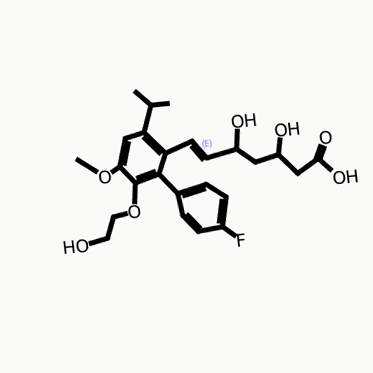 COc1cc(C(C)C)c(/C=C/C(O)CC(O)CC(=O)O)c(-c2ccc(F)cc2)c1OCCO